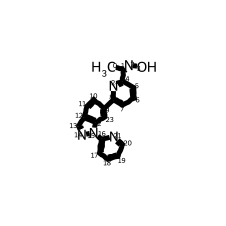 C/C(=N/O)c1cccc(-c2ccc3cnn(-c4ccccn4)c3c2)n1